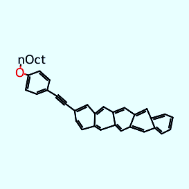 CCCCCCCCOc1ccc(C#Cc2ccc3cc4cc5cc6ccccc6cc5cc4cc3c2)cc1